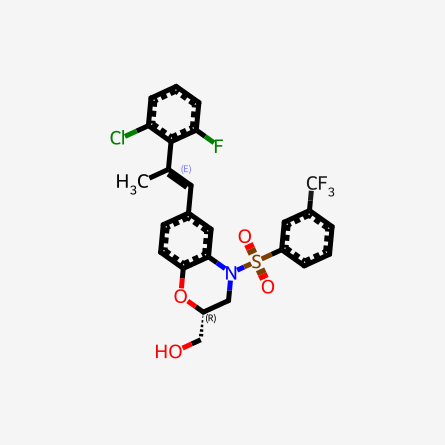 C/C(=C\c1ccc2c(c1)N(S(=O)(=O)c1cccc(C(F)(F)F)c1)C[C@H](CO)O2)c1c(F)cccc1Cl